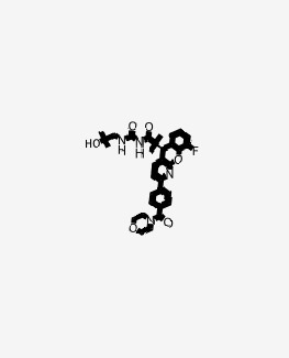 CC(C)(O)CNC(=O)NC(=O)C(C)(C)[C@@H]1c2ccc(-c3ccc(C(=O)N4CCOCC4)cc3)nc2Oc2c(F)cccc21